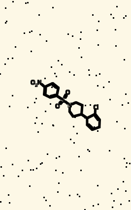 O=[N+]([O-])c1ccc(S(=O)(=O)N2CCC(C3C=CCC=C3Cl)CC2)cc1